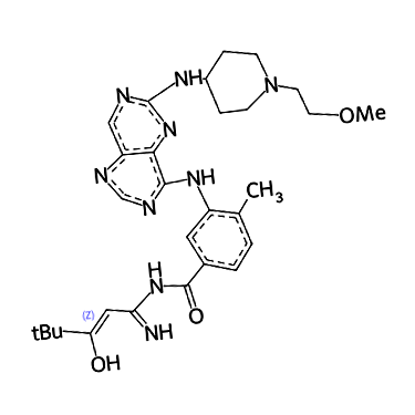 COCCN1CCC(Nc2ncc3ncnc(Nc4cc(C(=O)NC(=N)/C=C(\O)C(C)(C)C)ccc4C)c3n2)CC1